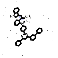 C/C=C(\C=C1/CNc2ccccc21)c1ccccc1N(C)c1ccc(-c2nc(-c3ccccc3)cc(-c3cccc(-c4ccccc4)c3)n2)cc1